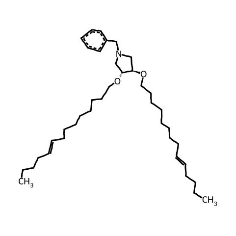 CCCCC=CCCCCCCCCO[C@@H]1CN(Cc2ccccc2)C[C@H]1OCCCCCCCCC=CCCCC